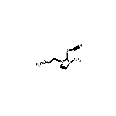 COCCN1C=CN(C)C1SC#N